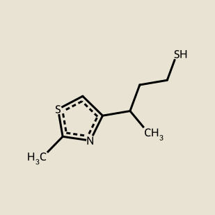 Cc1nc(C(C)CCS)cs1